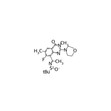 C/C(=N\[S@+]([O-])C(C)(C)C)c1c(F)c(C)cc2c(=O)n(C)c(N3CCOCC3)nc12